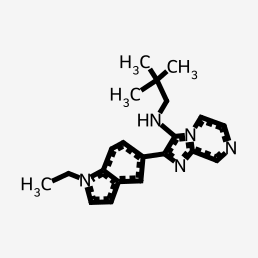 CCn1ccc2cc(-c3nc4cnccn4c3NCC(C)(C)C)ccc21